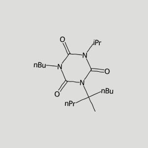 CCCCn1c(=O)n(C(C)C)c(=O)n(C(C)(CCC)CCCC)c1=O